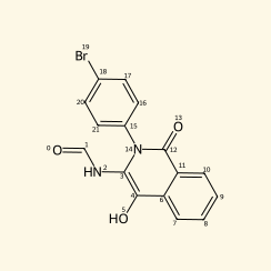 O=CNc1c(O)c2ccccc2c(=O)n1-c1ccc(Br)cc1